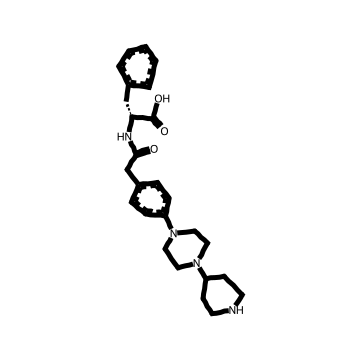 O=C(Cc1ccc(N2CCN(C3CCNCC3)CC2)cc1)N[C@H](Cc1ccccc1)C(=O)O